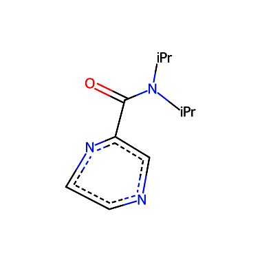 CC(C)N(C(=O)c1cnccn1)C(C)C